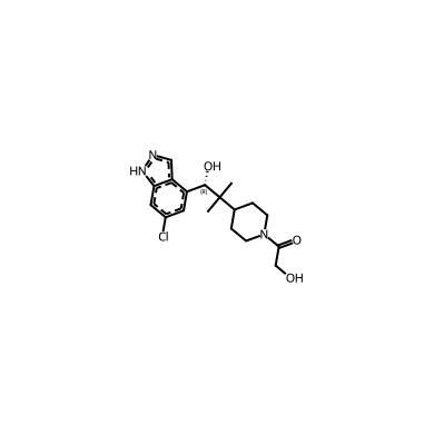 CC(C)(C1CCN(C(=O)CO)CC1)[C@@H](O)c1cc(Cl)cc2[nH]ncc12